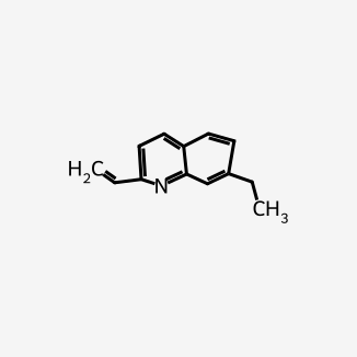 C=Cc1ccc2ccc(CC)cc2n1